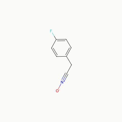 [O-][N+]#CCc1ccc(F)cc1